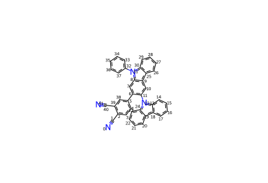 N#Cc1ccc(-c2cc3c(cc2-n2c4ccccc4c4ccccc42)c2ccccc2n3-c2ccccc2)cc1C#N